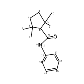 CC1(C)CCC(C)(C)C1C(=O)Nc1ccccc1